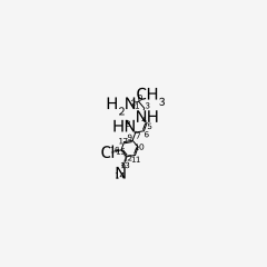 C[C@H](N)CN/C=C\C(=N)c1ccc(C#N)c(Cl)c1